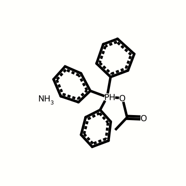 CC(=O)O[PH](c1ccccc1)(c1ccccc1)c1ccccc1.N